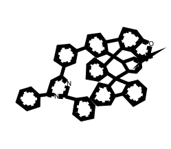 C1=CC2C(C=C1)C1(c3cc(-c4cccc(-c5cc(-c6ccccc6)nc(-c6ccccc6)n5)c4)ccc3-c3ccc4oc5ccccc5c4c31)c1ccccc1C21c2ccccc2-c2ccccc21